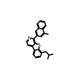 Cc1cc(-c2nccc3c2sc2c(CC(C)C)cccc23)cc2ccccc12